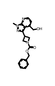 Cn1nc(C2CN(C(=O)OCc3ccccc3)C2)c2c(CO)ccnc21